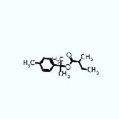 CCC(C)C(=O)OC(C)(C)c1ccc(C)cc1